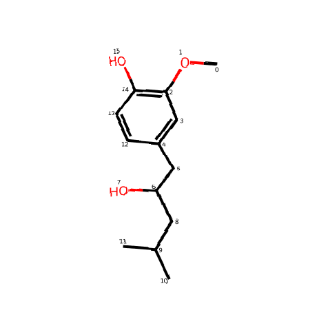 COc1cc(CC(O)CC(C)C)ccc1O